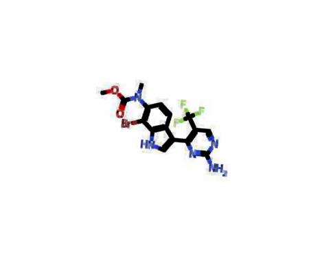 COC(=O)N(C)c1ccc2c(-c3nc(N)ncc3C(F)(F)F)c[nH]c2c1Br